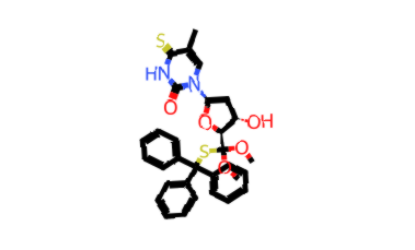 COC(OC)(SC(c1ccccc1)(c1ccccc1)c1ccccc1)[C@H]1O[C@@H](n2cc(C)c(=S)[nH]c2=O)C[C@@H]1O